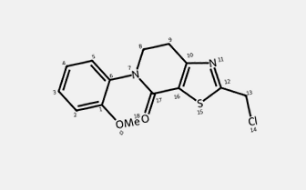 COc1ccccc1N1CCc2nc(CCl)sc2C1=O